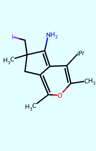 CC1=C2CC(C)(CI)C(N)=C2C(C(C)C)=C(C)O1